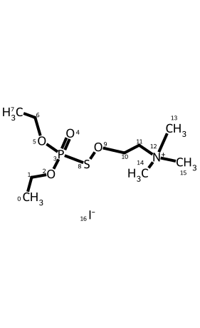 CCOP(=O)(OCC)SOCC[N+](C)(C)C.[I-]